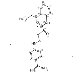 N=C(N)c1ccc(NCCC(=O)C(=O)Nc2ccncc2CCC(=O)O)cc1